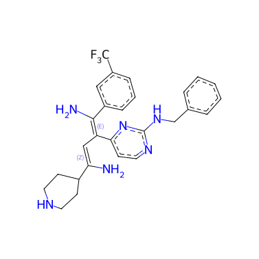 N/C(=C\C(=C(/N)c1cccc(C(F)(F)F)c1)c1ccnc(NCc2ccccc2)n1)C1CCNCC1